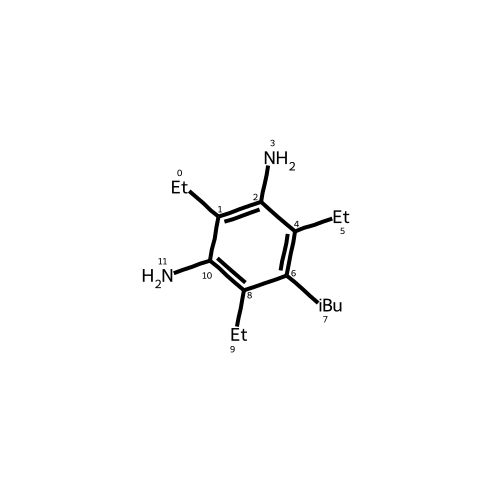 CCc1c(N)c(CC)c(C(C)CC)c(CC)c1N